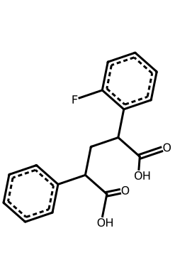 O=C(O)C(CC(C(=O)O)c1ccccc1F)c1ccccc1